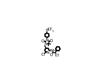 CCC(C(=O)Nc1cc(CN2C(=O)N(c3ccc(SC(F)(F)F)cc3)C(=O)C2(C)C)cc(Cl)n1)c1ccccc1